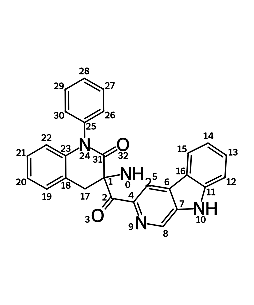 NC1(C(=O)c2cc3c(cn2)[nH]c2ccccc23)Cc2ccccc2N(c2ccccc2)C1=O